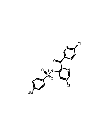 CC(C)(C)c1ccc(S(=O)(=O)Nc2cc(Cl)cnc2C(=O)c2ccc(Cl)nc2)cc1